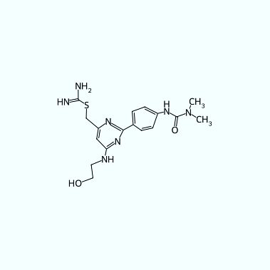 CN(C)C(=O)Nc1ccc(-c2nc(CSC(=N)N)cc(NCCO)n2)cc1